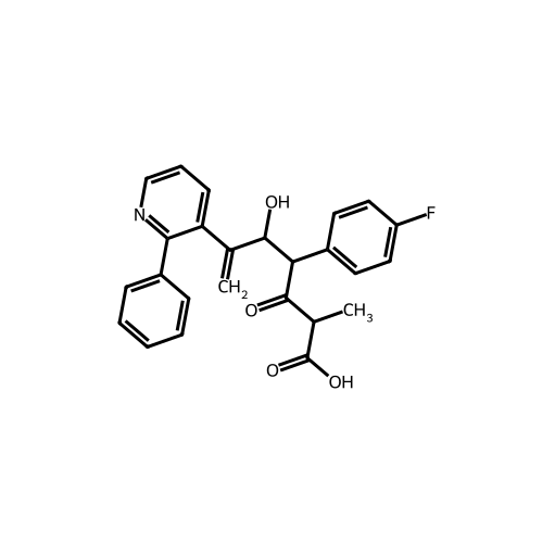 C=C(c1cccnc1-c1ccccc1)C(O)C(C(=O)C(C)C(=O)O)c1ccc(F)cc1